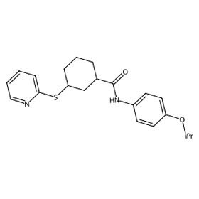 CC(C)Oc1ccc(NC(=O)C2CCCC(Sc3ccccn3)C2)cc1